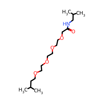 CC(C)CCOCCOCCOCCOCC(=O)NCC(C)C